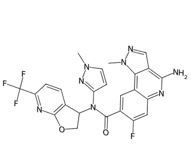 Cn1ccc(N(C(=O)c2cc3c(cc2F)nc(N)c2cnn(C)c23)C2COc3nc(C(F)(F)F)ccc32)n1